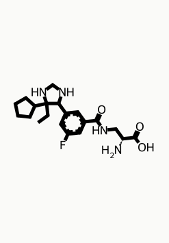 CCC1(C2CCCC2)NCNC1c1cc(F)cc(C(=O)NC[C@@H](N)C(=O)O)c1